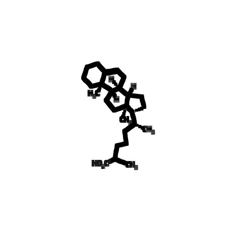 CC(CCC[C@@H](C)[C@H]1CC[C@H]2[C@@H]3CC=C4CCCC[C@]4(C)[C@H]3CC[C@]12C)C(=O)O